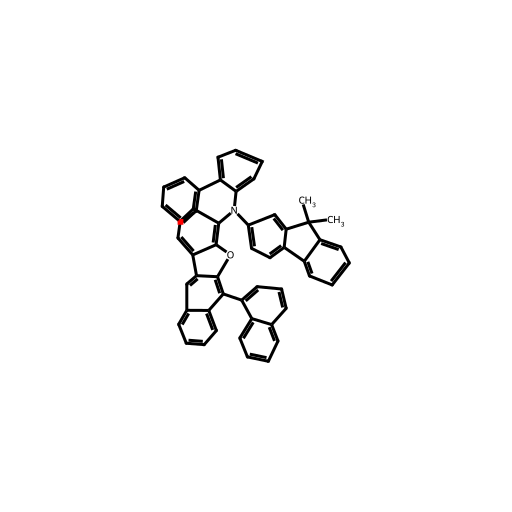 CC1(C)c2ccccc2-c2ccc(N(c3ccccc3-c3ccccc3)c3cccc4c3oc3c(-c5cccc6ccccc56)c5ccccc5cc34)cc21